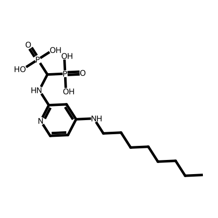 CCCCCCCCNc1ccnc(NC(P(=O)(O)O)P(=O)(O)O)c1